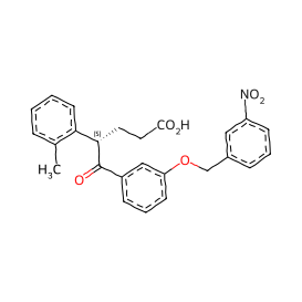 Cc1ccccc1[C@H](CCC(=O)O)C(=O)c1cccc(OCc2cccc([N+](=O)[O-])c2)c1